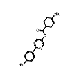 CC(C)(C)C1=CCC(C(=O)Oc2cnc(-c3ccc(C(C)(C)C)cc3)nc2)CC1